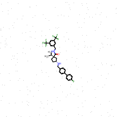 CC(C)[C@]1(C(=O)NCc2cc(C(F)(F)F)cc(C(F)(F)F)c2)CC[C@@H](NCc2ccc(-c3ccc(F)cc3)cc2)C1